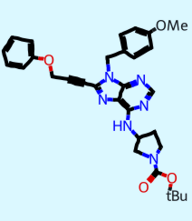 COc1ccc(Cn2c(C#CCOc3ccccc3)nc3c(NC4CCN(C(=O)OC(C)(C)C)C4)ncnc32)cc1